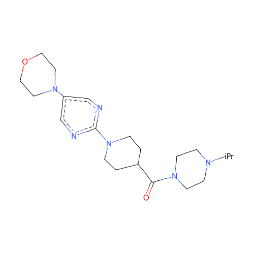 CC(C)N1CCN(C(=O)C2CCN(c3ncc(N4CCOCC4)cn3)CC2)CC1